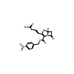 O=C(O)CC=CC1=C(C(=O)OCc2ccc([N+](=O)[O-])cc2)N2C(=O)C[C@H]2S1